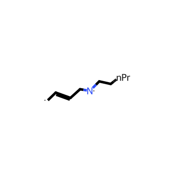 [CH2]C=CC[N]CCCCC